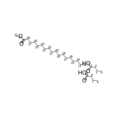 CCCC(=O)O.CCCC(=O)O.CCCCCCCCCCCCCCCCCC(=O)OC